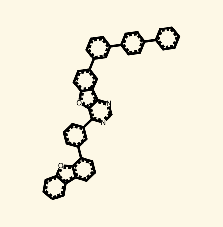 c1ccc(-c2ccc(-c3cccc(-c4ccc5oc6c(-c7cccc(-c8cccc9c8oc8ccccc89)c7)ncnc6c5c4)c3)cc2)cc1